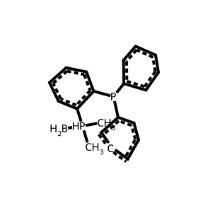 B[PH](C)(C)c1ccccc1P(c1ccccc1)c1ccccc1